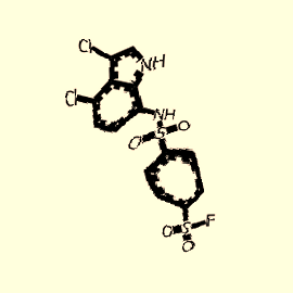 O=S(=O)(F)c1ccc(S(=O)(=O)Nc2ccc(Cl)c3c(Cl)c[nH]c23)cc1